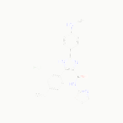 CCCNc1ccc(-c2nc(C(=O)Nc3nccs3)c(-c3ccc(OC)cc3)[nH]2)cc1.Cl